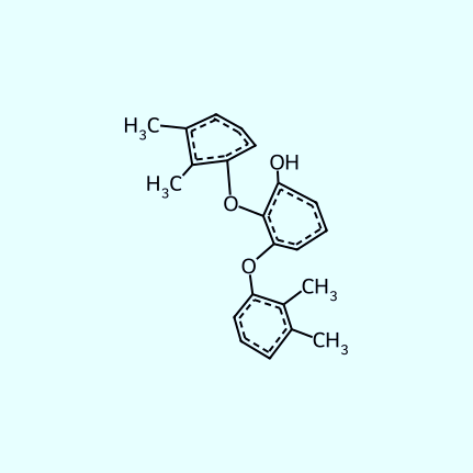 Cc1cccc(Oc2cccc(O)c2Oc2cccc(C)c2C)c1C